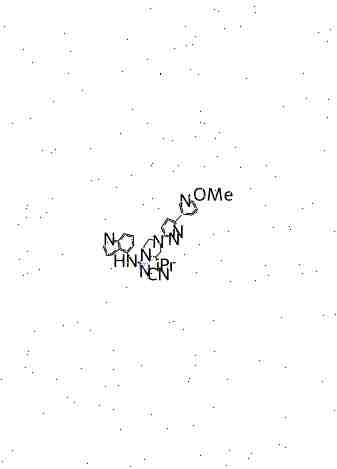 COc1ccc(-c2ccc(N3CCN(/C(=N\C#N)Nc4cccc5ncccc45)C(C(C)C)C3)nn2)cn1